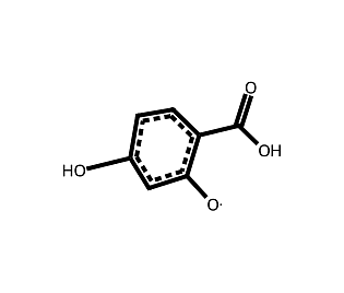 [O]c1cc(O)ccc1C(=O)O